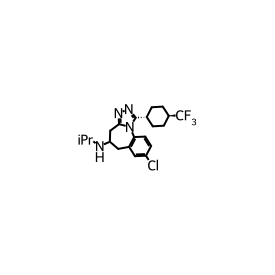 CC(C)NC1Cc2cc(Cl)ccc2-n2c(nnc2[C@H]2CC[C@H](C(F)(F)F)CC2)C1